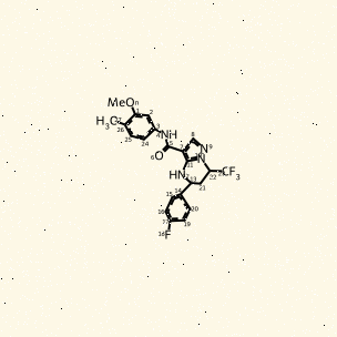 COc1cc(NC(=O)c2cnn3c2NC(c2ccc(F)cc2)CC3C(F)(F)F)ccc1C